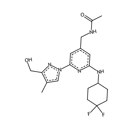 CC(=O)NCc1cc(NC2CCC(F)(F)CC2)nc(-n2cc(C)c(CO)n2)c1